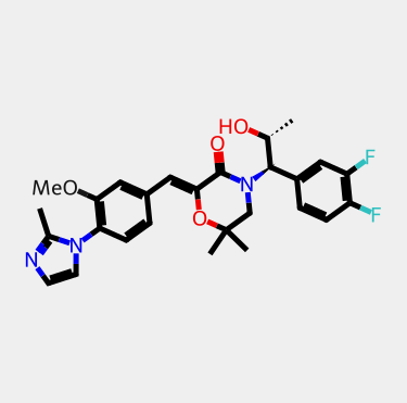 COc1cc(C=C2OC(C)(C)CN([C@H](c3ccc(F)c(F)c3)[C@@H](C)O)C2=O)ccc1-n1ccnc1C